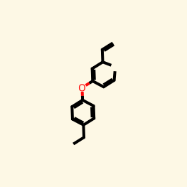 C=CC(C)/C=C(\C=C/C)Oc1ccc(CC)cc1